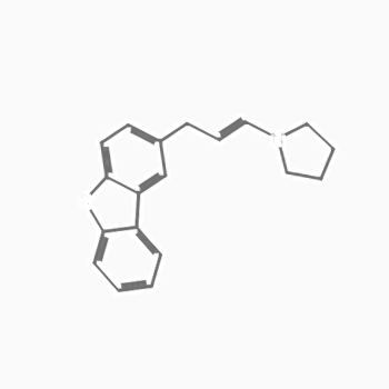 C(=CN1CCCC1)Cc1ccc2sc3ccccc3c2c1